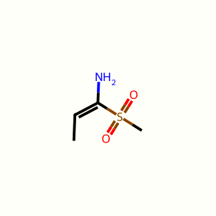 C/C=C(/N)S(C)(=O)=O